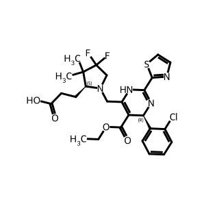 CCOC(=O)C1=C(CN2CC(F)(F)C(C)(C)[C@@H]2CCC(=O)O)NC(c2nccs2)=N[C@H]1c1ccccc1Cl